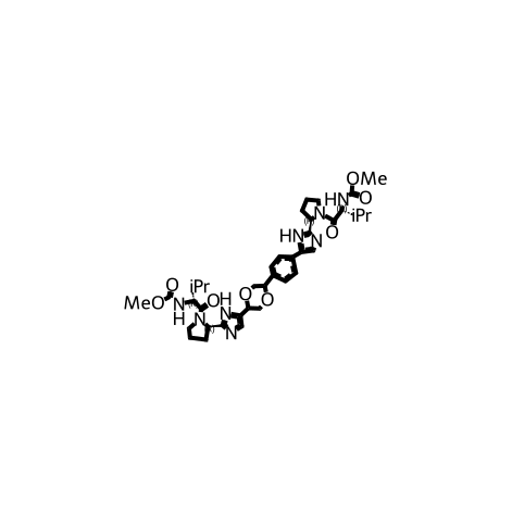 COC(=O)N[C@@H](C(=O)N1CCC[C@@H]1c1ncc(-c2ccc(C3COC(c4cnc([C@H]5CCCN5C(=O)[C@H](NC(=O)OC)C(C)C)[nH]4)CO3)cc2)[nH]1)C(C)C